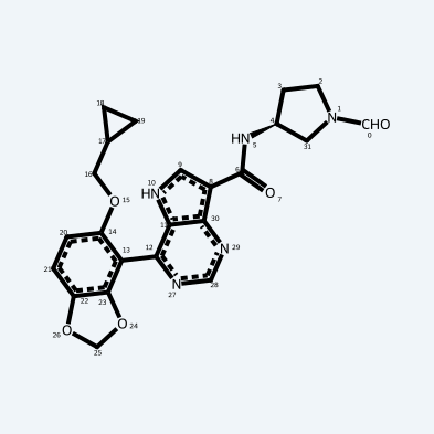 O=CN1CC[C@H](NC(=O)c2c[nH]c3c(-c4c(OCC5CC5)ccc5c4OCO5)ncnc23)C1